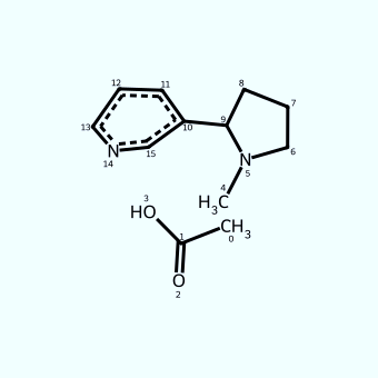 CC(=O)O.CN1CCCC1c1cccnc1